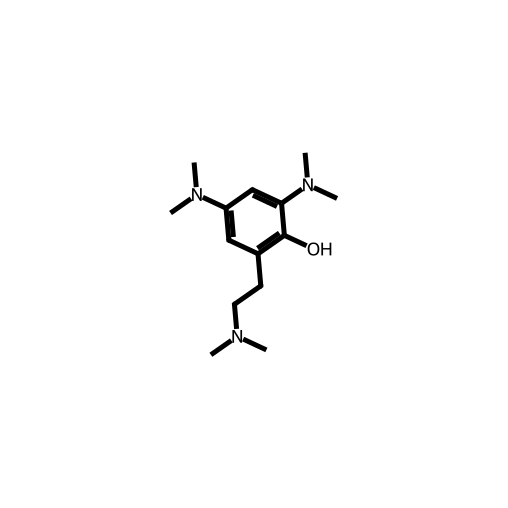 CN(C)CCc1cc(N(C)C)cc(N(C)C)c1O